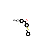 COc1ccc(C(=O)c2ccc(SCc3ccccc3)cc2)cc1F